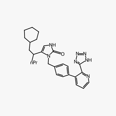 CCCC(CC1CCCCC1)c1c[nH]c(=O)n1Cc1ccc(-c2cccnc2-c2nnn[nH]2)cc1